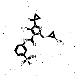 CS(=N)(=O)c1cccc(NC(=O)c2c(C(F)(F)F)c(C3(F)CC3)nn2C[C@@H]2C[C@H]2C(F)(F)F)c1